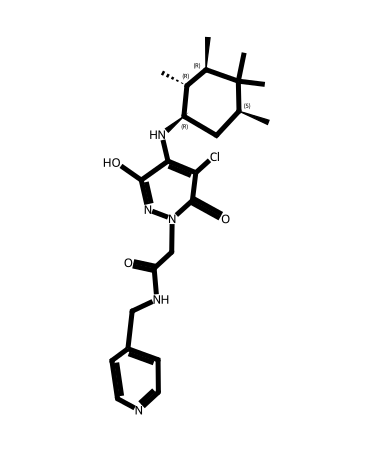 C[C@@H]1[C@@H](C)C(C)(C)[C@@H](C)C[C@H]1Nc1c(O)nn(CC(=O)NCc2ccncc2)c(=O)c1Cl